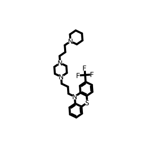 FC(F)(F)c1ccc2c(c1)N(CCCN1CCN(CCCN3CCCCC3)CC1)c1ccccc1S2